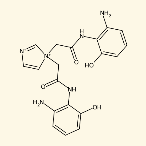 Nc1cccc(O)c1NC(=O)C[N+]1(CC(=O)Nc2c(N)cccc2O)C=C[N+]=C1